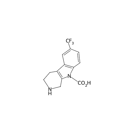 O=C(O)n1c2c(c3cc(C(F)(F)F)ccc31)CCNC2